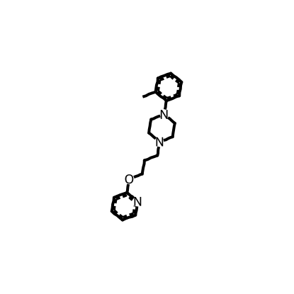 Cc1ccccc1N1CCN(CCCOc2ccccn2)CC1